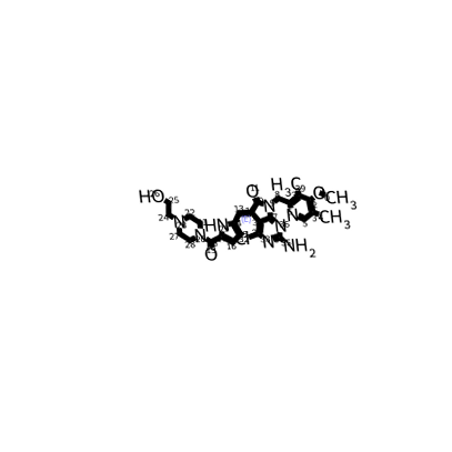 COc1c(C)cnc(CN2C(=O)/C(=C/c3ccc(C(=O)N4CCN(CCO)CC4)[nH]3)c3c(Cl)nc(N)nc32)c1C